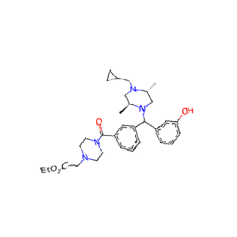 CCOC(=O)CN1CCN(C(=O)c2cccc(C(c3cccc(O)c3)N3C[C@@H](C)N(CC4CC4)C[C@@H]3C)c2)CC1